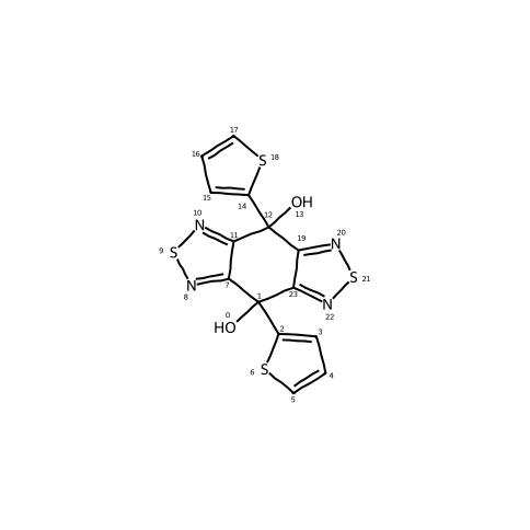 OC1(c2cccs2)c2nsnc2C(O)(c2cccs2)c2nsnc21